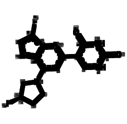 O=c1[nH]cc(-c2cc(N3CC[C@@H](F)C3)c3ncc(F)n3n2)c(=O)[nH]1